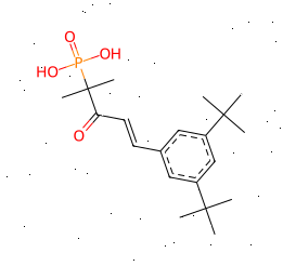 CC(C)(C)c1cc(C=CC(=O)C(C)(C)P(=O)(O)O)cc(C(C)(C)C)c1